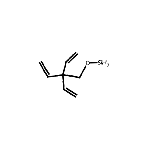 C=CC(C=C)(C=C)CO[SiH3]